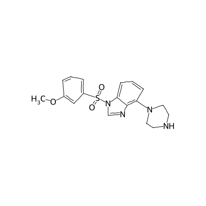 COc1cccc(S(=O)(=O)n2cnc3c(N4CCNCC4)cccc32)c1